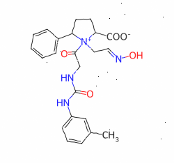 Cc1cccc(NC(=O)NCC(=O)[N+]2(CC=NO)C(C(=O)[O-])CCC2c2ccccc2)c1